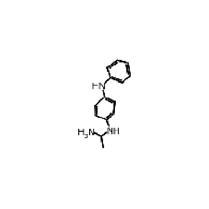 CC(N)Nc1ccc(Nc2ccccc2)cc1